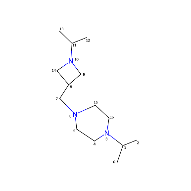 CC(C)N1CCN(CC2CN(C(C)C)C2)CC1